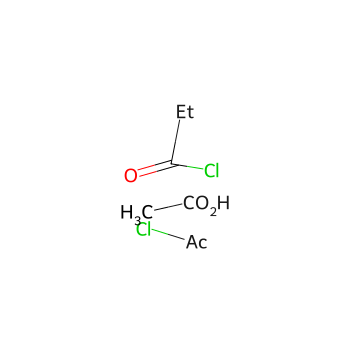 CC(=O)Cl.CC(=O)O.CCC(=O)Cl